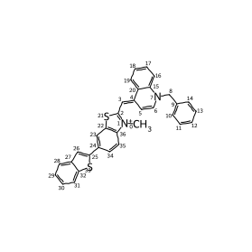 C[n+]1c(C=C2C=CN(Cc3ccccc3)c3ccccc32)sc2cc(-c3cc4ccccc4s3)ccc21